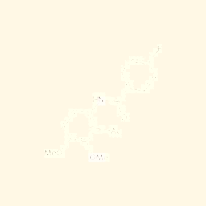 COc1ccc(NC(=O)c2ccc(F)cc2)c(C(C)=O)c1OC